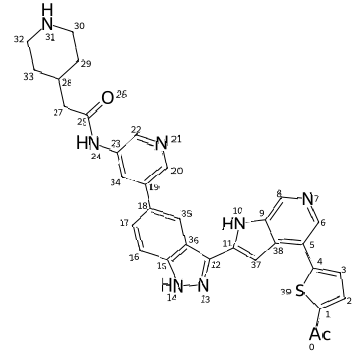 CC(=O)c1ccc(-c2cncc3[nH]c(-c4n[nH]c5ccc(-c6cncc(NC(=O)CC7CCNCC7)c6)cc45)cc23)s1